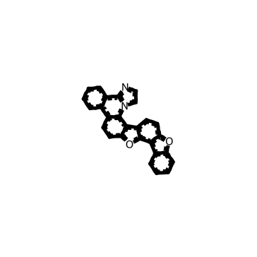 c1ccc2c(c1)oc1ccc3c(oc4ccc5c6ccccc6c6nccn6c5c43)c12